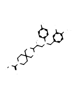 COc1ccc(CN(C[C@H](O)C2OCC3(CCN(C(=O)OC(C)(C)C)CC3)CO2)c2ccc(C#N)cc2)cc1F